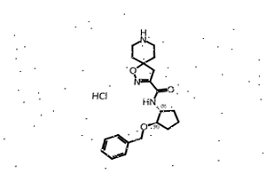 Cl.O=C(N[C@@H]1CCC[C@H]1OCc1ccccc1)C1=NOC2(CCNCC2)C1